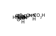 CC(C)(C)OC(=O)NC(C)(C)C(=O)N1CCN(C(=O)Nc2ccn(-c3ccc4c(c3)OCC(N3CC5C(CNC(=O)O)C5C3)C4)c(=O)n2)CC1